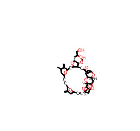 C=C1CC2CC[C@@]34CC5OC6C(O3)[C@H]3OC(CCC3O[C@H]6C5O4)CC(=O)CC3C(CC4OC(CCC1O2)CC(C)C4=C)O[C@H](CC(O)CO)[C@@H]3OC